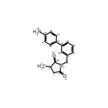 CC1CC(=O)N(Cc2cccc(-c3ccc(N)cc3)c2)C1=O